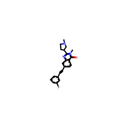 CN1CCC(c2nc3cc(C#Cc4cccc(F)c4)ccc3c(=O)n2C)C1